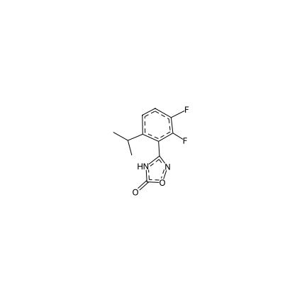 CC(C)c1ccc(F)c(F)c1-c1noc(=O)[nH]1